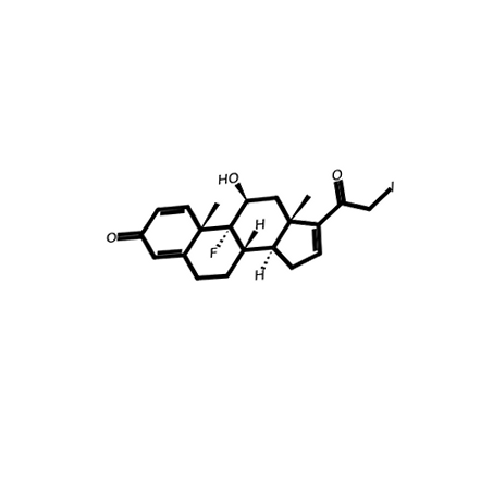 C[C@]12C=CC(=O)C=C1CC[C@H]1[C@@H]3CC=C(C(=O)CI)[C@@]3(C)C[C@H](O)[C@@]12F